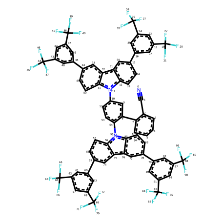 N#Cc1ccccc1-c1cc(-n2c3ccc(-c4cc(C(F)(F)F)cc(C(F)(F)F)c4)cc3c3cc(-c4cc(C(F)(F)F)cc(C(F)(F)F)c4)ccc32)ccc1-n1c2ccc(-c3cc(C(F)(F)F)cc(C(F)(F)F)c3)cc2c2cc(-c3cc(C(F)(F)F)cc(C(F)(F)F)c3)ccc21